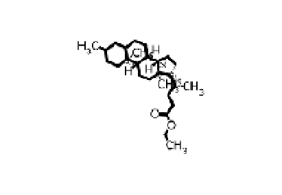 CCOC(=O)CC[C@@H](C)[C@H]1CC[C@H]2[C@@H]3CCC4CC(C)CC[C@]4(C)[C@H]3CC[C@]12C